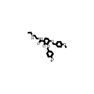 CCNCCNC(=O)c1ccc(OCc2ccc(OC)cc2)c(OCc2ccc(OC)cc2)c1Cl